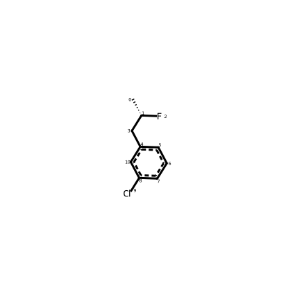 C[C@H](F)Cc1cccc(Cl)c1